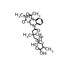 CNC(=O)[C@H]1CN(C(=O)CC(C)(C)C[C@H](N)[C@@H](O)C[C@@H](C)C(=O)O)c2ccccc2N1C(C)=O